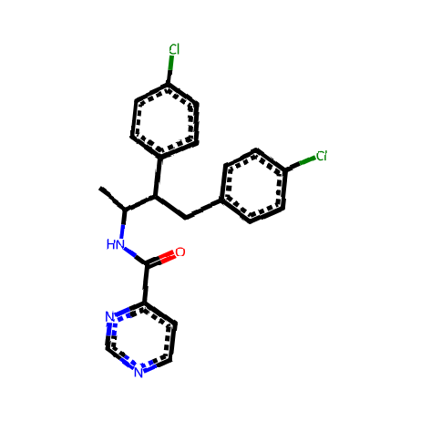 CC(NC(=O)c1ccncn1)C(Cc1ccc(Cl)cc1)c1ccc(Cl)cc1